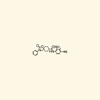 N#Cc1ccc(NC(=O)C2CCC3(CC2)CN(c2ccccc2)C(=O)O3)c(N)c1